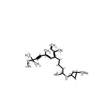 C=C/C(C#N)=C(\C=C(/C)C#CC(C)(C)OC(C)C)CCCC(CCC)OC1CC(OC)C1